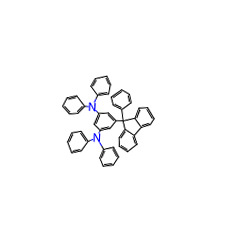 c1ccc(N(c2ccccc2)c2cc(N(c3ccccc3)c3ccccc3)cc(C3(c4ccccc4)c4ccccc4-c4ccccc43)c2)cc1